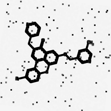 Cc1cncc(COc2cc3c4c(c2)c(=O)c(Cc2cccnc2)cn4-c2cc(Br)ccc2S3)c1